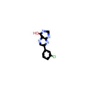 Oc1ncnc2nc(-c3cccc(Cl)c3)cnc12